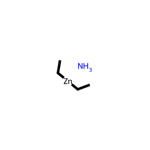 C[CH2][Zn][CH2]C.N